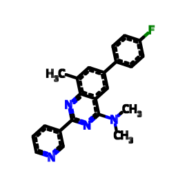 Cc1cc(-c2ccc(F)cc2)cc2c(N(C)C)nc(-c3cccnc3)nc12